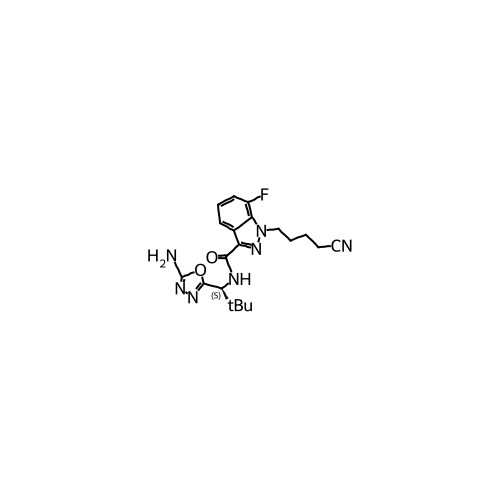 CC(C)(C)[C@H](NC(=O)c1nn(CCCCC#N)c2c(F)cccc12)c1nnc(N)o1